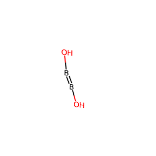 OB=BO